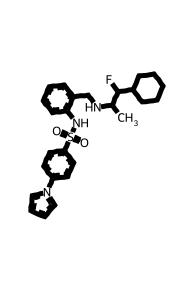 CC(NCc1ccccc1NS(=O)(=O)c1ccc(-n2cccc2)cc1)C(F)C1CCCCC1